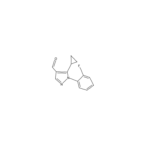 O=Cc1cnn(-c2ccccc2F)c1C1CC1